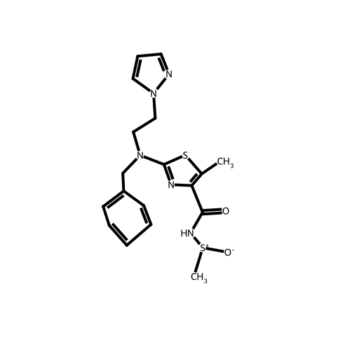 Cc1sc(N(CCn2cccn2)Cc2ccccc2)nc1C(=O)N[S+](C)[O-]